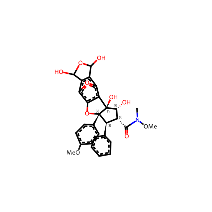 COc1ccc([C@@]23Oc4c(c5oc4c4c5C(O)OC4O)[C@]2(O)[C@H](O)[C@H](C(=O)N(C)OC)[C@H]3c2ccccc2)cc1